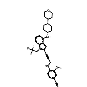 COc1cc(C#N)ccc1NCC#Cc1cc2c(N[C@H]3CC[C@H](N4CCOCC4)CC3)cccc2n1CC(F)(F)F